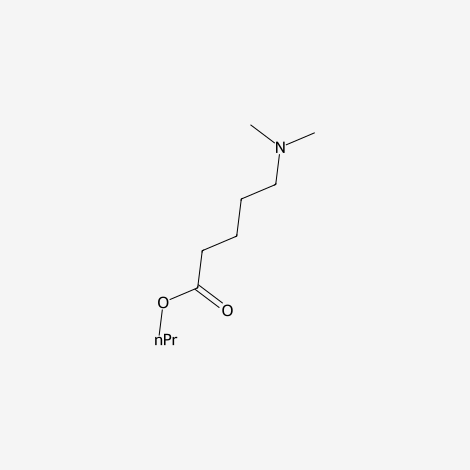 CCCOC(=O)CCCCN(C)C